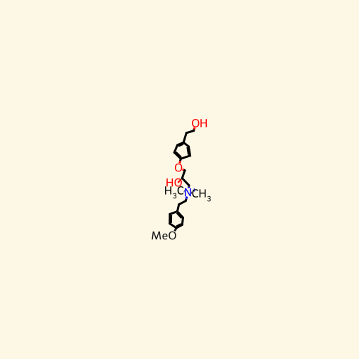 COc1ccc(CC[N+](C)(C)C[C@@H](O)COc2ccc(CCO)cc2)cc1